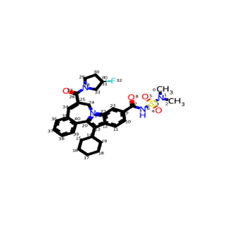 CN(C)S(=O)(=O)NC(=O)c1ccc2c(C3CCCCC3)c3n(c2c1)CC(C(=O)N1CC[C@@H](F)C1)=Cc1ccccc1-3